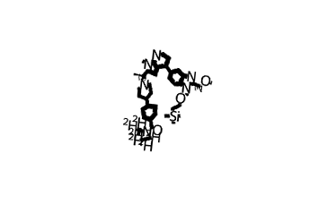 [2H]C([2H])([2H])N(C(=O)c1ccc(C2CCN([C@@H](C)c3cc4c(-c5ccc6c(c5)nc([C@@H](C)OC)n6COCC[Si](C)(C)C)ccnc4n3C)CC2)cc1)C([2H])([2H])[2H]